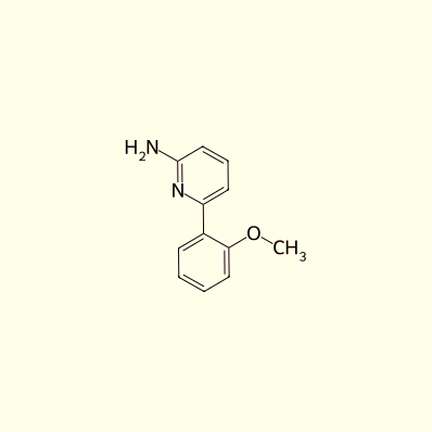 COc1ccccc1-c1cccc(N)n1